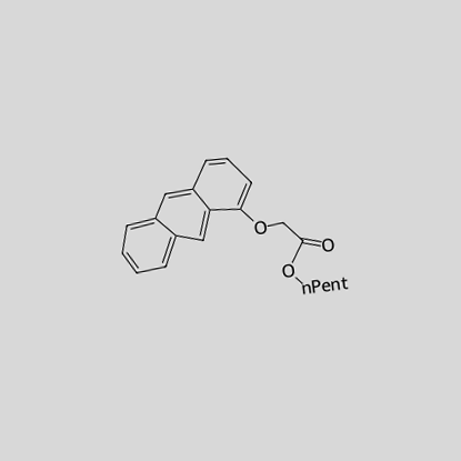 CCCCCOC(=O)COc1cccc2cc3ccccc3cc12